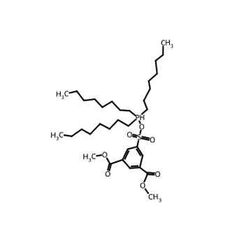 CCCCCCCC[PH](CCCCCCCC)(CCCCCCCC)OS(=O)(=O)c1cc(C(=O)OC)cc(C(=O)OC)c1